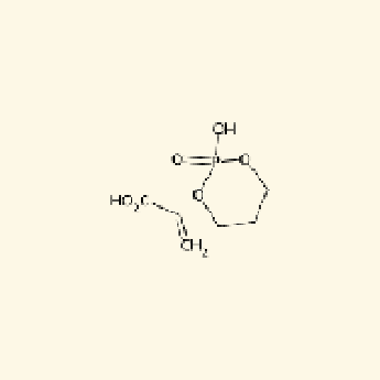 C=CC(=O)O.O=P1(O)OCCCO1